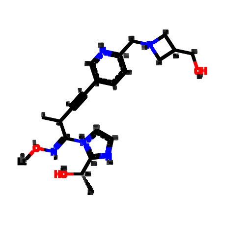 CCO/N=C(\C(C)C#Cc1ccc(CN2CC(CO)C2)nc1)n1ccnc1[C@H](C)O